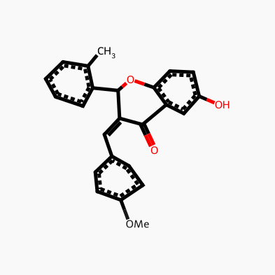 COc1ccc(C=C2C(=O)c3cc(O)ccc3OC2c2ccccc2C)cc1